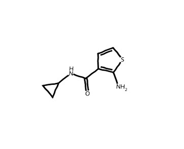 Nc1sccc1C(=O)NC1CC1